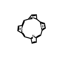 C1=C/C2=C/c3ccc([nH]3)C3C=CC(=N3)/C=c3/cc/c([nH]3)=C/C1=N2